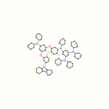 c1ccc(N(c2ccccc2)c2cc3c4c(c2)Oc2cc5c(cc2B4c2ccc(-n4c6ccccc6c6ccccc64)cc2O3)B2c3ccccc3N(c3ccccc3)c3cc(N(c4ccccc4)c4ccccc4)cc(c32)N5c2ccccc2)cc1